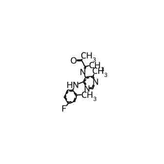 CC(=O)/C(C)=N/c1c(C)ncnc1Nc1ccc(F)cc1C